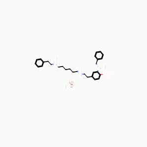 Br.Br.Br.Oc1ccc(CCNCCCCCCNCCc2ccccc2)cc1NCc1ccccc1